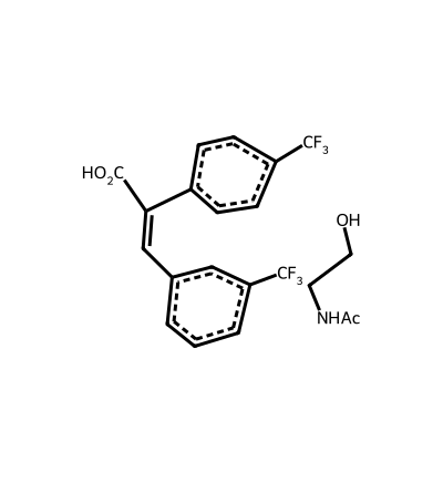 CC(=O)NCCO.O=C(O)C(=Cc1cccc(C(F)(F)F)c1)c1ccc(C(F)(F)F)cc1